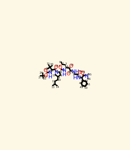 CCC[C@H](NC(=O)[C@@H]1CC(CCC(C)C)CN1C(=O)[C@@H](NC(=O)OC(C)(C)C)C(C)(C)C)C(=O)C(=O)NCC(=O)NC(C(=O)N(C)C)c1ccccc1